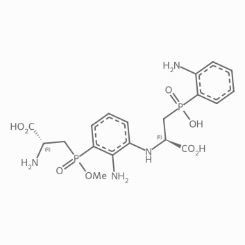 COP(=O)(C[C@H](N)C(=O)O)c1cccc(N[C@@H](CP(=O)(O)c2ccccc2N)C(=O)O)c1N